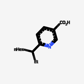 CCCCCCC(CC)c1ccc(C(=O)O)cn1